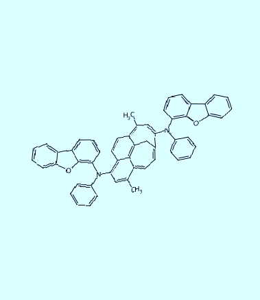 CC1=c2ccc3c(N(c4ccccc4)c4cccc5c4oc4ccccc45)cc(C)c4c3c2CC(=CC=4)C(N(c2ccccc2)c2cccc3c2oc2ccccc23)=C1